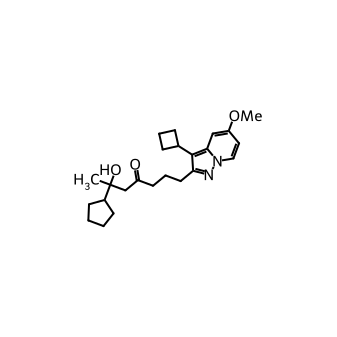 COc1ccn2nc(CCCC(=O)CC(C)(O)C3CCCC3)c(C3CCC3)c2c1